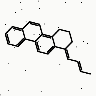 CC=CC=C1CCCc2c1ccc1c2ccc2ccccc21